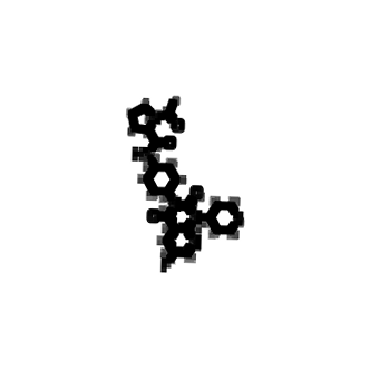 CC(=O)N1CCCC1C(=O)NC1CCC(n2c(=O)c3cc(F)cnc3n(C3CCSCC3)c2=O)CC1